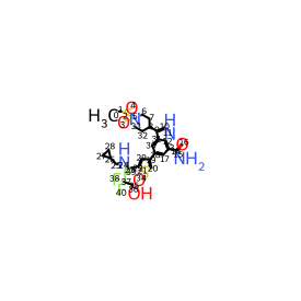 CCS(=O)(=O)N1CCC(c2c[nH]c3c(C(N)=O)cc(-c4csc(CNCC5CC5)c4)cc23)CC1.O=C(O)C(F)(F)F